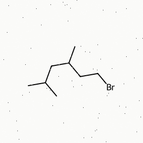 CC(C)CC(C)CCBr